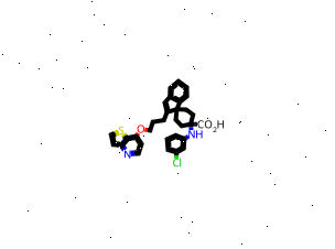 O=C(O)C1(Nc2cccc(Cl)c2)CCC2(CC1)C(CCCOc1ccnc3ccsc13)=Cc1ccccc12